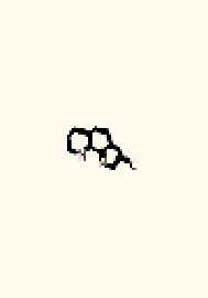 Clc1cnc2c(ccc3cccnc32)c1